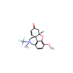 COc1ccc2c3c1O[C@H]1CC(=O)C=C[C@@]31CC[N+](C)([B-](F)(F)F)C2